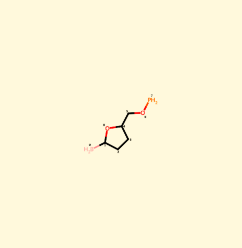 BC1CCC(COP)O1